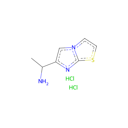 CC(N)c1cn2ccsc2n1.Cl.Cl